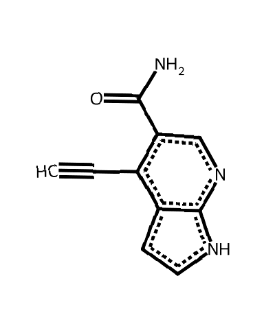 C#Cc1c(C(N)=O)cnc2[nH]ccc12